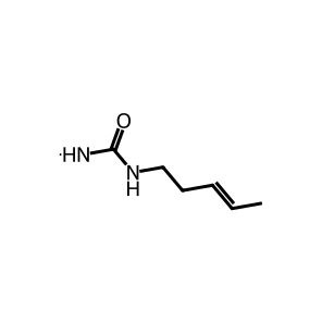 C/C=C/CCNC([NH])=O